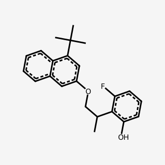 CC(COc1cc(C(C)(C)C)c2ccccc2c1)c1c(O)cccc1F